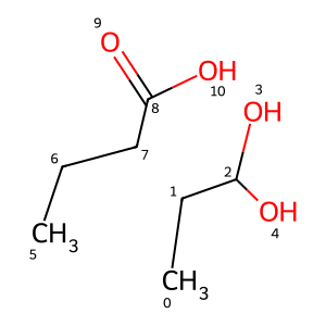 CCC(O)O.CCCC(=O)O